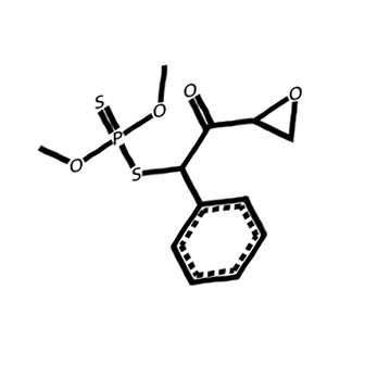 COP(=S)(OC)SC(C(=O)C1CO1)c1ccccc1